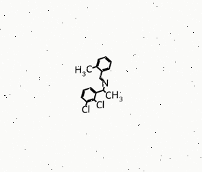 Cc1ccccc1C=NC(C)c1cccc(Cl)c1Cl